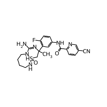 CC1(c2cc(NC(=O)c3ccc(C#N)cn3)ccc2F)C[SH]2(=O)NCCCCN2C(N)=N1